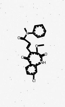 COc1c(C=CC(=O)N(C)c2ccccc2)c(=O)c2ccc(Cl)cc2[nH]c1=O